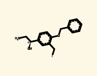 NC[C@@H](O)c1ccc(OCc2ccccc2)c(CI)c1